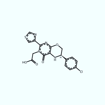 O=C(O)Cn1c(-c2cscn2)nc2c(c1=O)N[C@H](c1ccc(Cl)cc1)CO2